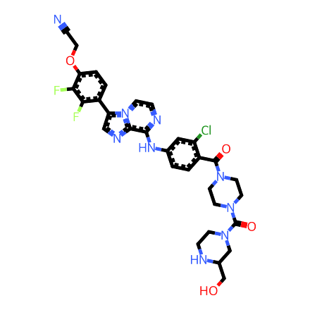 N#CCOc1ccc(-c2cnc3c(Nc4ccc(C(=O)N5CCN(C(=O)N6CCNC(CO)C6)CC5)c(Cl)c4)nccn23)c(F)c1F